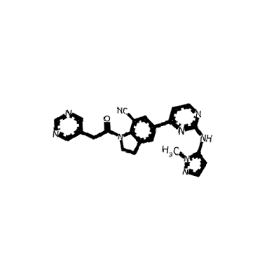 Cn1nccc1Nc1nccc(-c2cc(C#N)c3c(c2)CCN3C(=O)Cc2cncnc2)n1